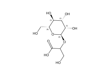 O=C(O)C(CO)O[C@H]1O[C@H](CO)[C@@H](O)[C@H](O)[C@@H]1O